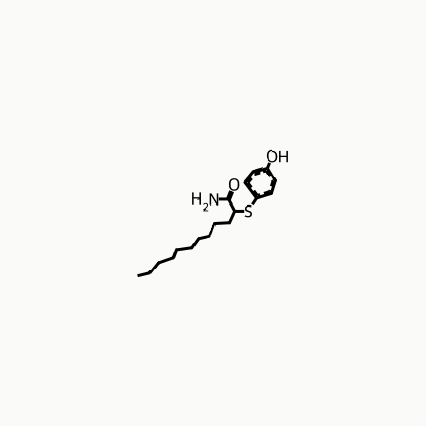 CCCCCCCCCCC(Sc1ccc(O)cc1)C(N)=O